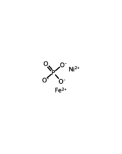 O=P([O-])([O-])[O-].[Fe+2].[Ni+2]